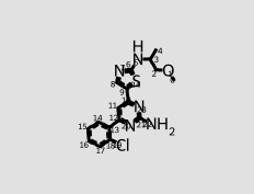 COCC(C)Nc1ncc(-c2cc(-c3ccccc3Cl)nc(N)n2)s1